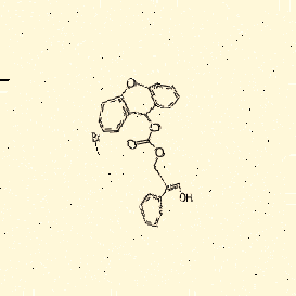 CBr.O=C(OCC(=CO)c1ccccc1)OC1c2ccccc2Oc2ccccc21